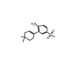 CC1(C)CC=C(c2cc(S(C)(=O)=O)ccc2N)CC1